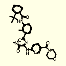 Cc1c(NC(=O)c2ccccc2C(C)(C)C)cccc1-c1cn(C)c(=O)c(Nc2ccc(C(=O)N3CCOCC3)cc2)n1